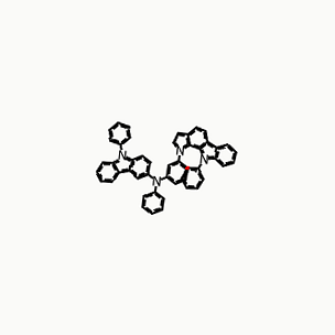 c1ccc(N(c2cccc(-n3ccc4ccc5c6ccccc6n(-c6ccccc6)c5c43)c2)c2ccc3c(c2)c2ccccc2n3-c2ccccc2)cc1